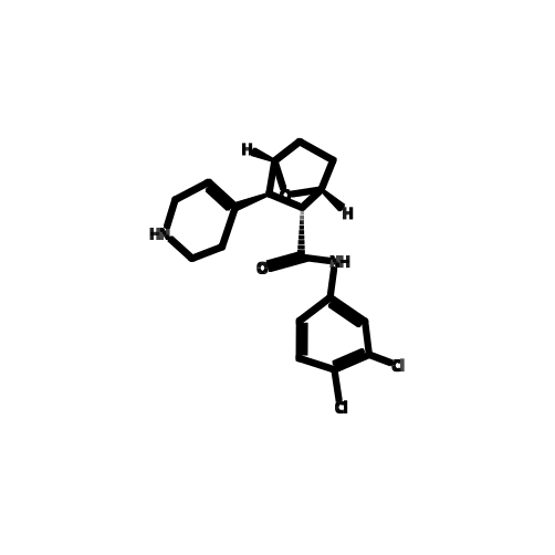 O=C(Nc1ccc(Cl)c(Cl)c1)[C@@H]1[C@@H](C2=CCNCC2)[C@@H]2CC[C@H]1O2